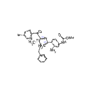 C/C=C(\N=C(\C(=O)c1ccc(Br)cn1)[C@@H](C)SCc1ccccc1)c1ccc(NC(=O)OC)cc1N